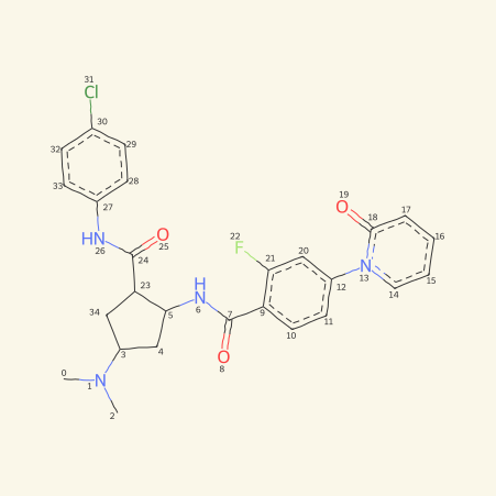 CN(C)C1CC(NC(=O)c2ccc(-n3ccccc3=O)cc2F)C(C(=O)Nc2ccc(Cl)cc2)C1